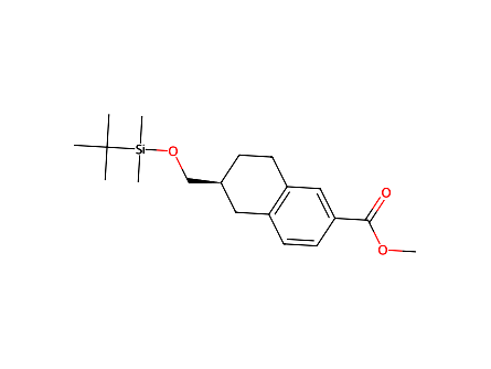 COC(=O)c1ccc2c(c1)CC[C@H](CO[Si](C)(C)C(C)(C)C)C2